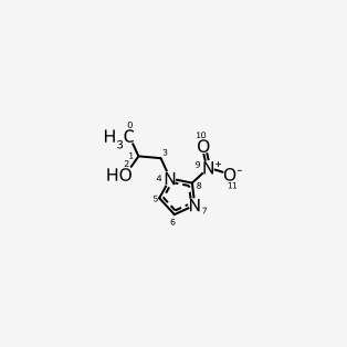 CC(O)Cn1ccnc1[N+](=O)[O-]